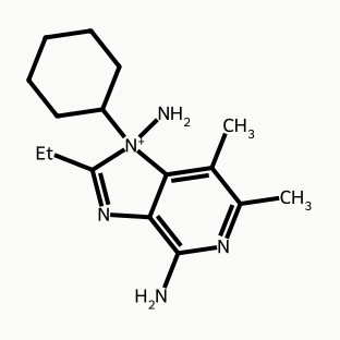 CCC1=Nc2c(N)nc(C)c(C)c2[N+]1(N)C1CCCCC1